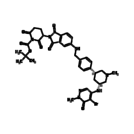 CN1C[C@H](Nc2cnn(C)c(=O)c2Br)C[C@H](c2ccc(CNc3ccc4c(c3)C(=O)N(C3CCC(=O)N(C(=O)OC(C)(C)C)C3=O)C4=O)cc2)C1